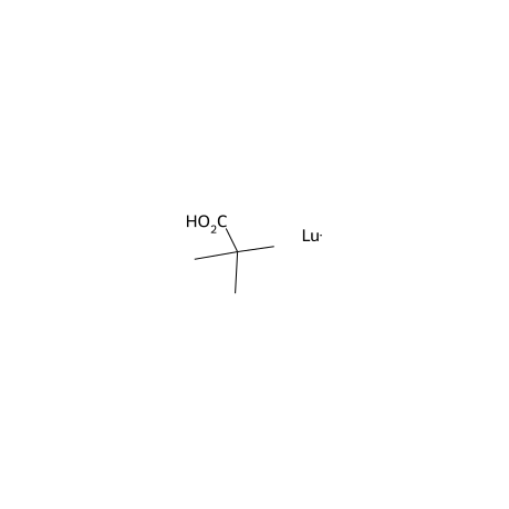 CC(C)(C)C(=O)O.[Lu]